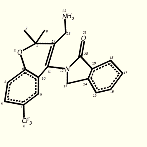 CC1(C)Oc2ccc(C(F)(F)F)cc2C(N2Cc3ccccc3C2=O)=C1CN